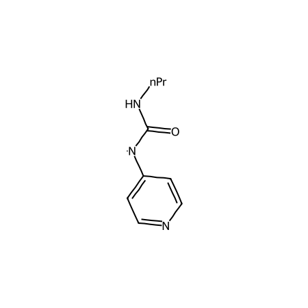 CCCNC(=O)[N]c1ccncc1